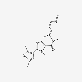 C=N/C=C\C=C(/C)N(C)C(=O)c1cnc(-c2cc(C)sc2C)n1C